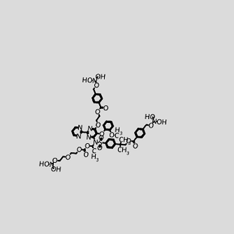 COc1ccccc1Oc1c(OCCOC(=O)c2ccc(CON(O)O)cc2)nc(-c2ncccn2)nc1N(C(C)OC(=O)OCCOCCON(O)O)S(=O)(=O)c1ccc(C(C)(C)COC(=O)c2ccc(CON(O)O)cc2)cc1